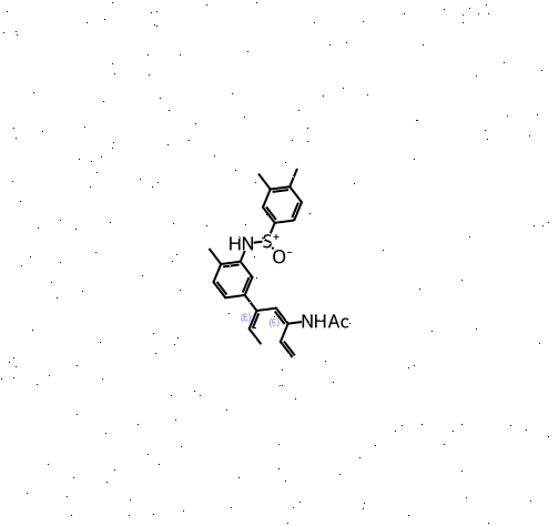 C=C/C(=C\C(=C/C)c1ccc(C)c(N[S+]([O-])c2ccc(C)c(C)c2)c1)NC(C)=O